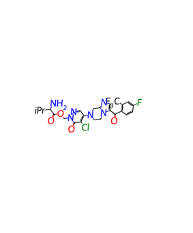 CC(C)C(N)C(=O)OCn1ncc(N2CCn3c(C(=O)c4ccc(F)cc4C(F)(F)F)cnc3C2)c(Cl)c1=O